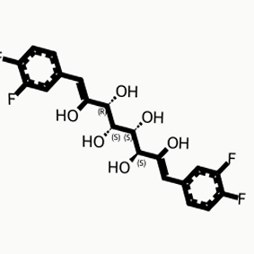 OC(=Cc1ccc(F)c(F)c1)[C@@H](O)[C@@H](O)[C@H](O)[C@@H](O)C(O)=Cc1ccc(F)c(F)c1